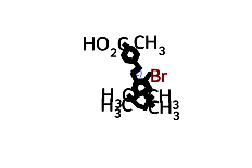 Cc1cc(/C=C/c2cc3c(cc2CBr)C(C)(C)CCC3(C)C)ccc1C(=O)O